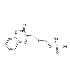 O=c1oc2ccccc2cc1CSCOP(=O)(O)O